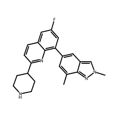 Cc1cc(-c2cc(F)cc3ccc(C4CCNCC4)nc23)cc2cn(C)nc12